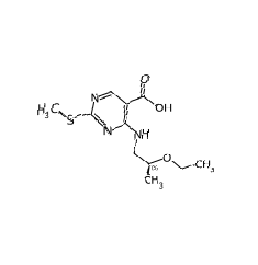 CCO[C@@H](C)CNc1nc(SC)ncc1C(=O)O